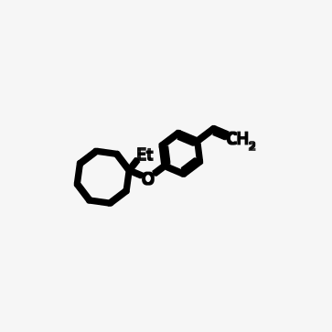 C=Cc1ccc(OC2(CC)CCCCCCC2)cc1